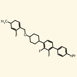 CCCc1ccc(-c2ccc(C3CCC(OCC4=CCC(C)C=C4F)CC3)c(F)c2F)cc1